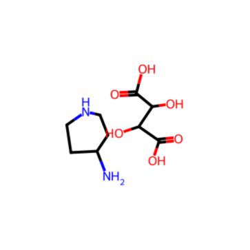 NC1CCNCC1.O=C(O)C(O)C(O)C(=O)O